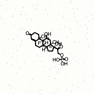 C[C@]12CCC(=O)C=C1CC[C@H]1[C@@H]3CC[C@](O)(C(=O)COP(=O)(O)O)[C@@]3(C)C[C@H](O)[C@@]12F